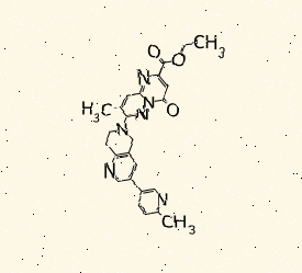 CCOC(=O)c1cc(=O)n2nc(N3CCc4ncc(-c5ccc(C)nc5)cc4C3)c(C)cc2n1